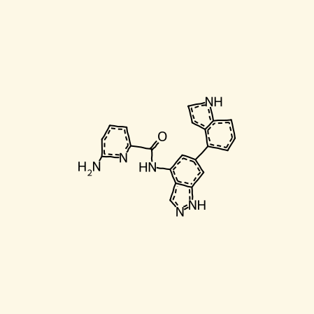 Nc1cccc(C(=O)Nc2cc(-c3cccc4[nH]ccc34)cc3[nH]ncc23)n1